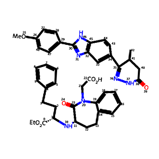 CCOC(=O)[C@H](CCc1ccccc1)N[C@H]1CCc2ccccc2N(CC(=O)O)C1=O.COc1ccc(-c2nc3cc(C4=NNC(=O)CC4C)ccc3[nH]2)cc1